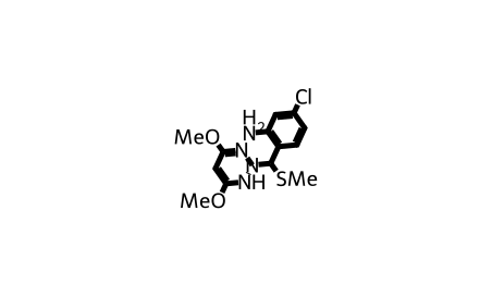 COC1=CC(OC)=NN(C(SC)c2ccc(Cl)cc2N)N1